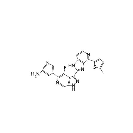 Cc1ccc(-c2nccc3[nH]c(-c4n[nH]c5cnc(-c6cncc(N)c6)c(F)c45)nc23)s1